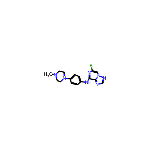 CN1CCN(c2ccc(Nc3nc(Br)cn4ncnc34)cc2)CC1